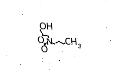 CCCCN1CC(CO)OC1=O